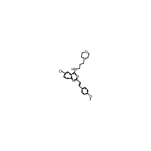 COc1ccc(C=Cc2nc(NCCCN3CCOCC3)c3cc(Cl)ccc3n2)cc1